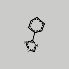 [c]1ccccc1-c1ncsn1